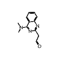 CN(C)c1nc(CC=O)nc2ccccc12